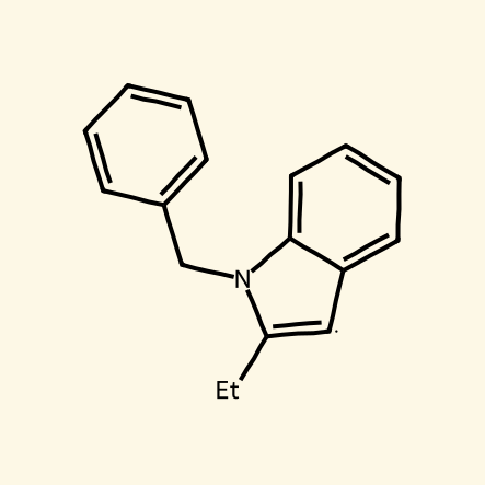 CCc1[c]c2ccccc2n1Cc1ccccc1